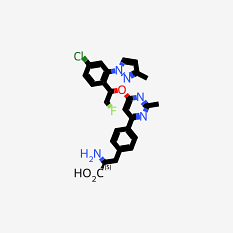 Cc1ccn(-c2cc(Cl)ccc2C(CF)Oc2cc(-c3ccc(C[C@H](N)C(=O)O)cc3)nc(C)n2)n1